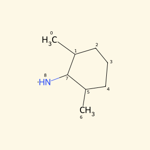 CC1CCCC(C)C1[NH]